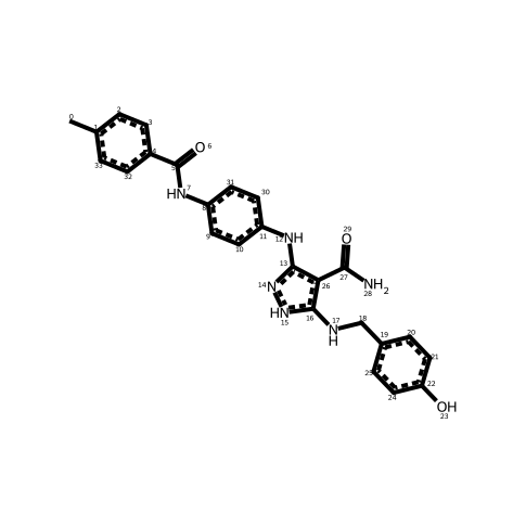 Cc1ccc(C(=O)Nc2ccc(Nc3n[nH]c(NCc4ccc(O)cc4)c3C(N)=O)cc2)cc1